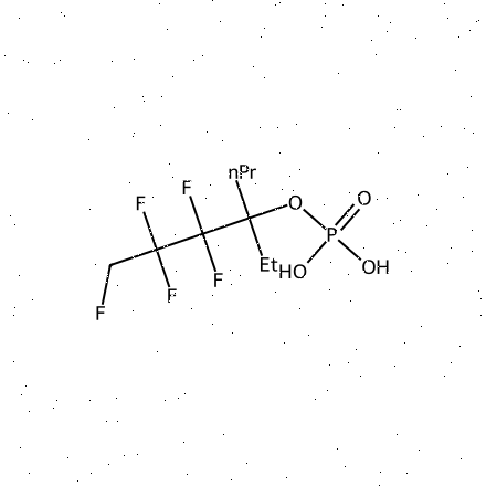 CCCC(CC)(OP(=O)(O)O)C(F)(F)C(F)(F)CF